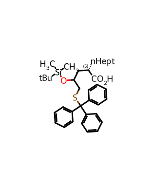 CCCCCCC[C@@H](CC(CSC(c1ccccc1)(c1ccccc1)c1ccccc1)O[Si](C)(C)C(C)(C)C)C(=O)O